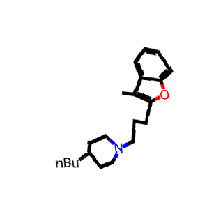 CCCCC1CCN(CCCc2oc3ccccc3c2C)CC1